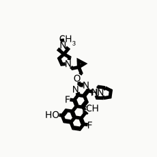 C#Cc1c(F)ccc2cc(O)cc(-c3c(F)cc4c(N5CC6CCC(C5)N6)nc(OCC5(CN6CCC7(CN(C)C7)C6)CC5)nc4c3F)c12